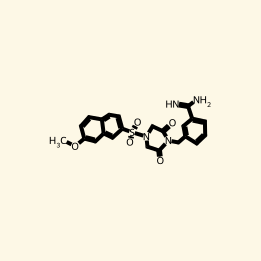 COc1ccc2ccc(S(=O)(=O)N3CC(=O)N(Cc4cccc(C(=N)N)c4)C(=O)C3)cc2c1